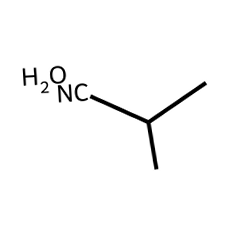 CC(C)C#N.O